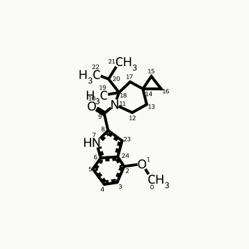 COc1cccc2[nH]c(C(=O)N3CCC4(CC4)CC3(C)C(C)C)cc12